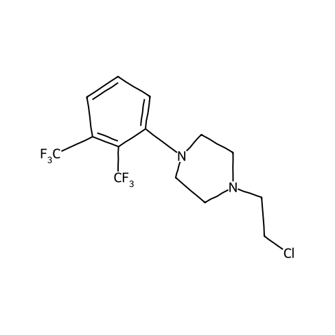 FC(F)(F)c1cccc(N2CCN(CCCl)CC2)c1C(F)(F)F